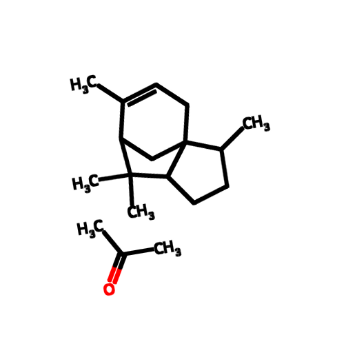 CC(C)=O.CC1=CCC23CC1C(C)(C)C2CCC3C